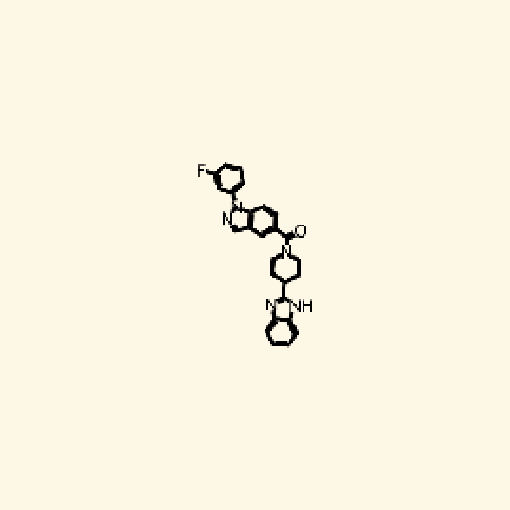 O=C(c1ccc2c(cnn2-c2cccc(F)c2)c1)N1CCC(c2nc3ccccc3[nH]2)CC1